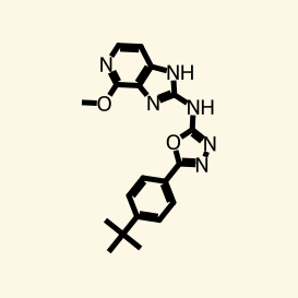 COc1nccc2[nH]c(Nc3nnc(-c4ccc(C(C)(C)C)cc4)o3)nc12